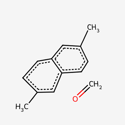 C=O.Cc1ccc2cc(C)ccc2c1